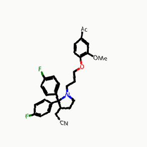 COc1cc(C(C)=O)ccc1OCCCN1CCC(CC#N)C1(c1ccc(F)cc1)c1ccc(F)cc1